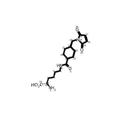 N[C@@H](CCCCNC(=O)C1CCC(CN2C(=O)C=CC2=O)CC1)C(=O)O